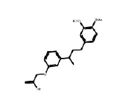 C=C(O)COc1cccc(C(C)CCc2ccc(OC)c(OC)c2)c1